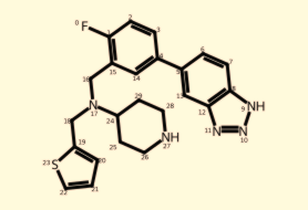 Fc1ccc(-c2ccc3[nH]nnc3c2)cc1CN(Cc1cccs1)C1CCNCC1